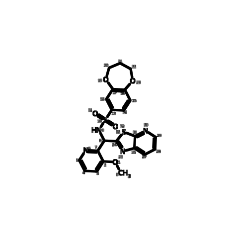 COc1cccnc1C(NS(=O)(=O)c1ccc2c(c1)OCCCO2)c1nc2cccnc2s1